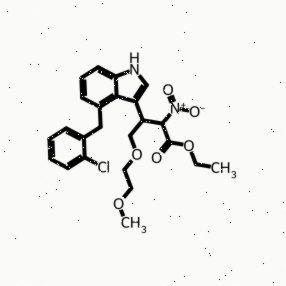 CCOC(=O)C(C(COCCOC)c1c[nH]c2cccc(Cc3ccccc3Cl)c12)[N+](=O)[O-]